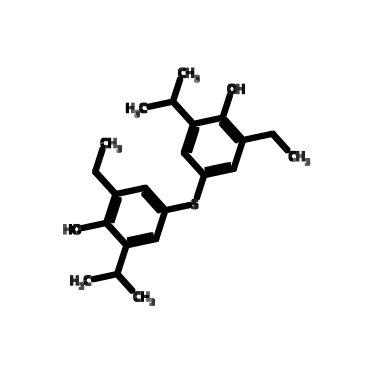 CCc1cc(Sc2cc(CC)c(O)c(C(C)C)c2)cc(C(C)C)c1O